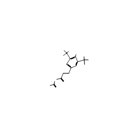 CC(=O)OC(=O)CCc1cc(C(C)(C)C)c(O)c(C(C)(C)C)c1